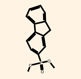 COP(=O)(OC)c1ccc2c(c1)Cc1ccccc1-2